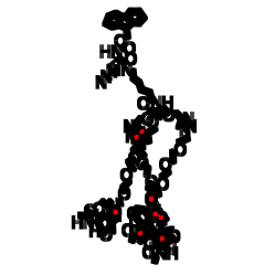 CC(=O)N[C@H]1[C@H]2OC[C@](COCCOCCOCCOCCn3cc(COCC(COCc4cn(CCOCCOCCOCCOC[C@@]56CO[C@@H](O5)[C@H](NC(C)=O)[C@H]5OC(C)(C)O[C@H]56)nn4)(COCc4cn(CCOCCOCCOCCOC[C@@]56CO[C@@H](O5)[C@H](NC(C)=O)[C@H]5OC(C)(C)O[C@H]56)nn4)NC(=O)CCCCCNC(=O)[C@H](CN=[N+]=[N-])NC(=O)OCC4c5ccccc5-c5ccccc54)nn3)(O2)[C@@H]2OC(C)(C)O[C@H]12